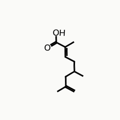 C=C(C)CC(C)C/C=C(\C)C(=O)O